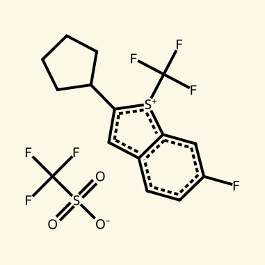 Fc1ccc2cc(C3CCCC3)[s+](C(F)(F)F)c2c1.O=S(=O)([O-])C(F)(F)F